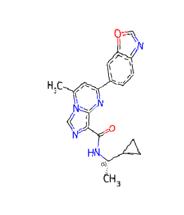 Cc1cc(-c2ccc3ncoc3c2)nc2c(C(=O)N[C@@H](C)C3CC3)ncn12